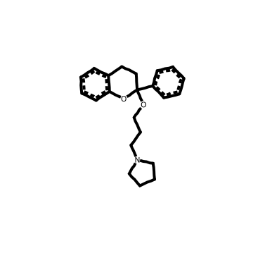 c1ccc(C2(OCCCN3CCCC3)CCc3ccccc3O2)cc1